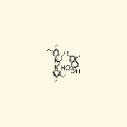 CCCCC(C=Nc1ccc(CC)c(CC)c1)=Nc1ccc(CC)c(CC)c1.CCc1cc(CC)c2ccc(O)c(O)c2c1